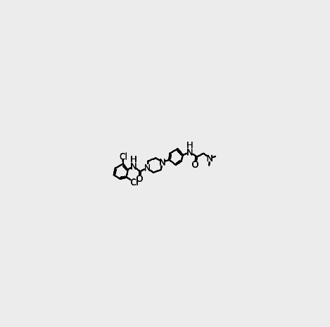 CN(C)CC(=O)Nc1ccc(N2CCN(C(=O)Nc3c(Cl)cccc3Cl)CC2)cc1